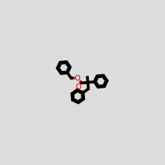 CC(Cc1ccccc1)(C(=O)OCc1ccccc1)c1ccccc1